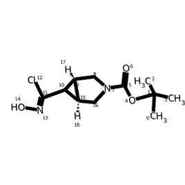 CC(C)(C)OC(=O)N1C[C@@H]2C(/C(Cl)=N/O)[C@@H]2C1